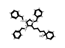 OC1(CCCCC2[C@@H](OCc3ccccc3)[C@H](OCc3ccccc3)CN2Cc2ccccc2)C=CC=CC1